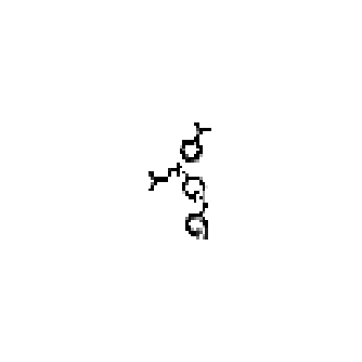 CC(C)=CCN(c1ccc(C(C)C)cc1)C1CCN(Cc2cccnc2)CC1